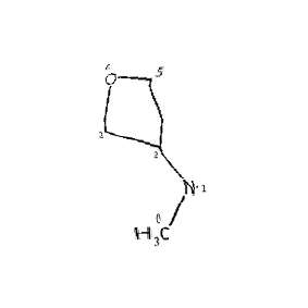 C[N]C1COC1